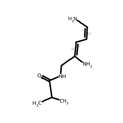 CC(C)C(=O)NC/C(N)=C/C=C\N